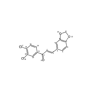 O=C(C=Cc1ccc2c(c1)OCO2)c1ccc(Cl)c(Cl)c1